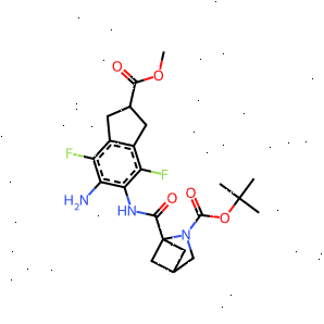 COC(=O)C1Cc2c(F)c(N)c(NC(=O)C34CC(CN3C(=O)OC(C)(C)C)C4)c(F)c2C1